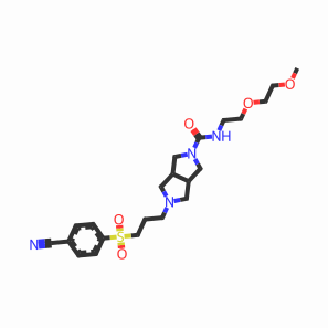 COCCOCCNC(=O)N1CC2CN(CCCS(=O)(=O)c3ccc(C#N)cc3)CC2C1